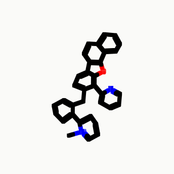 C[n+]1ccccc1-c1ccccc1Cc1ccc2c(oc3c4ccccc4ccc23)c1-c1ccccn1